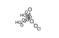 O=C(O)c1ccc(CN([C@]2(C(=O)O)C[C@H]2c2ccccc2)S(=O)(=O)c2ccc(-c3ccc(Cl)cc3)cc2)o1